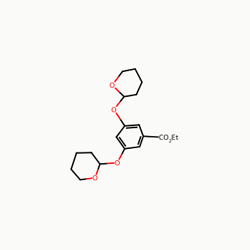 CCOC(=O)c1cc(OC2CCCCO2)cc(OC2CCCCO2)c1